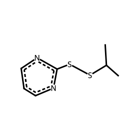 CC(C)SSc1ncccn1